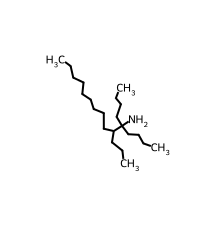 CCCCCCCCCC(CCC)C(N)(CCCC)CCCC